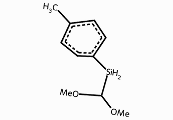 COC(OC)[SiH2]c1ccc(C)cc1